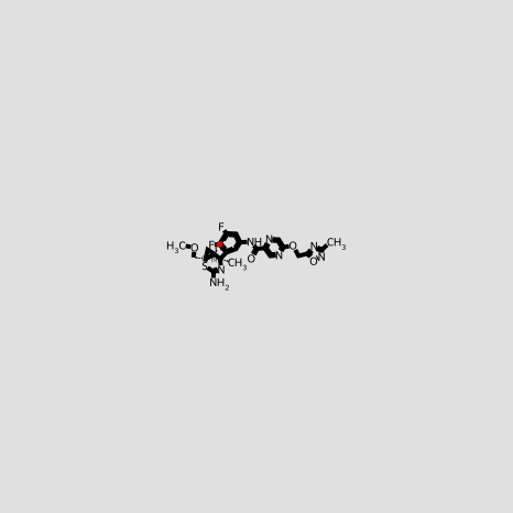 COC[C@]12C[C@H]1[C@@](C)(c1cc(NC(=O)c3cnc(OCc4nc(C)no4)cn3)cc(F)c1F)N=C(N)S2